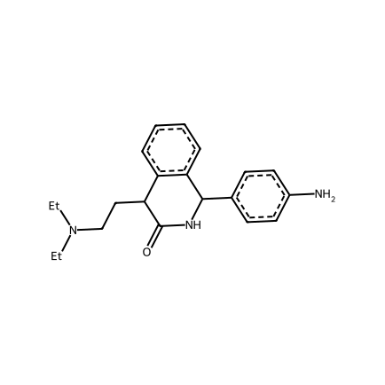 CCN(CC)CCC1C(=O)NC(c2ccc(N)cc2)c2ccccc21